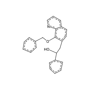 OC(Cc1ccc2cccnc2c1OCc1ccccc1)c1ccccc1